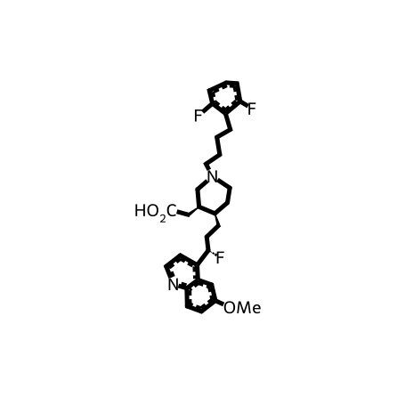 COc1ccc2nccc([C@@H](F)CC[C@@H]3CCN(CCCCc4c(F)cccc4F)C[C@@H]3CC(=O)O)c2c1